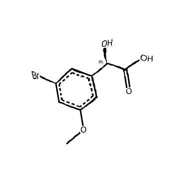 COc1cc(Br)cc([C@@H](O)C(=O)O)c1